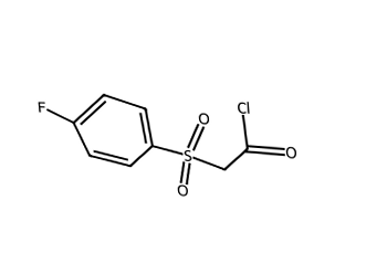 O=C(Cl)CS(=O)(=O)c1ccc(F)cc1